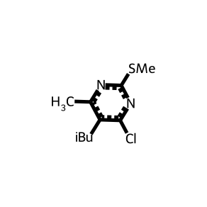 CCC(C)c1c(C)nc(SC)nc1Cl